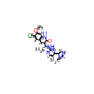 CC(C)Oc1cc2[nH]c(=O)c([C@H](C)Nc3nccc(-c4cncn4C)n3)cc2cc1Cl